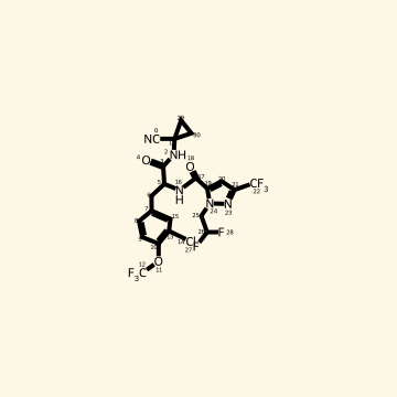 N#CC1(NC(=O)C(Cc2ccc(OC(F)(F)F)c(Cl)c2)NC(=O)c2cc(C(F)(F)F)nn2CC(F)F)CC1